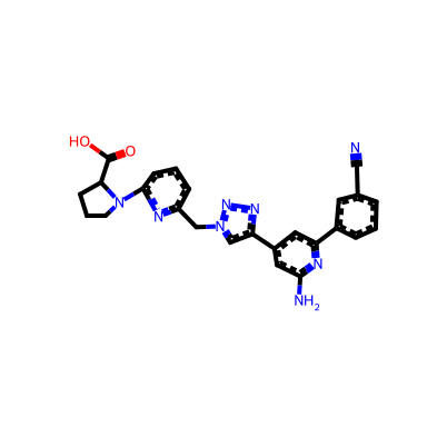 N#Cc1cccc(-c2cc(-c3cn(Cc4cccc(N5CCCC5C(=O)O)n4)nn3)cc(N)n2)c1